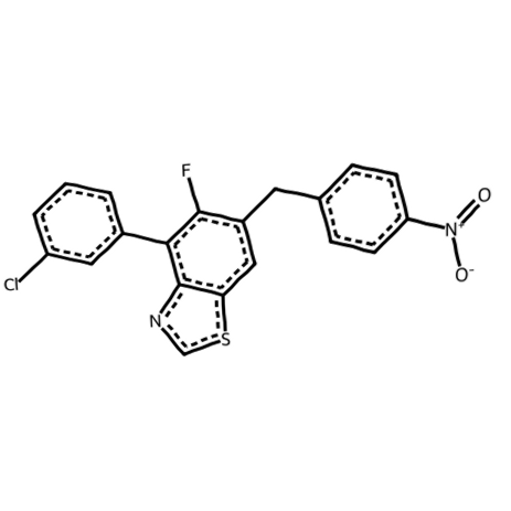 O=[N+]([O-])c1ccc(Cc2cc3scnc3c(-c3cccc(Cl)c3)c2F)cc1